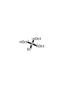 CCCCCCCC[N+](CC)(CCCCCCCC)CCCCCCCC